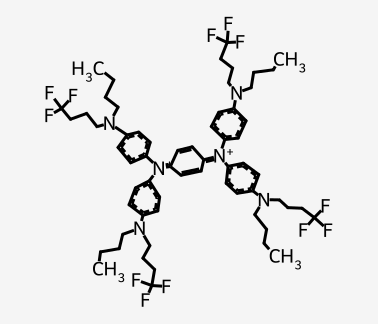 CCCCN(CCCC(F)(F)F)c1ccc([N+](=C2C=CC(=[N+](c3ccc(N(CCCC)CCCC(F)(F)F)cc3)c3ccc(N(CCCC)CCCC(F)(F)F)cc3)C=C2)c2ccc(N(CCCC)CCCC(F)(F)F)cc2)cc1